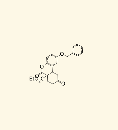 CCOC(=O)C12CCC(=O)CC1c1cc(OCc3ccccc3)ccc1OC2=O